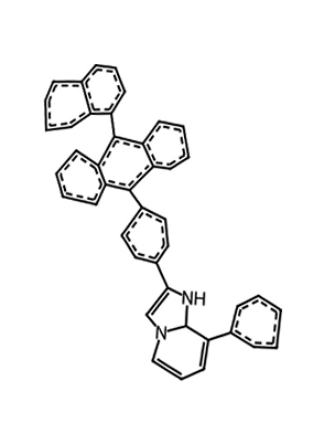 C1=CN2C=C(c3ccc(-c4c5ccccc5c(-c5cccc6ccccc56)c5ccccc45)cc3)NC2C(c2ccccc2)=C1